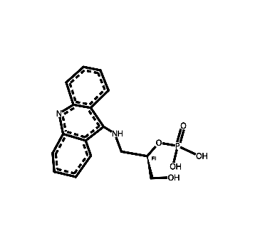 O=P(O)(O)O[C@@H](CO)CNc1c2ccccc2nc2ccccc12